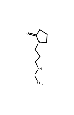 CSNCCCN1CCCC1=O